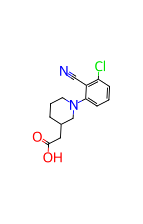 N#Cc1c(Cl)cccc1N1CCCC(CC(=O)O)C1